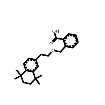 CC1(C)CCC(C)(C)c2cc(CCOCc3ccccc3C(=O)O)ccc21